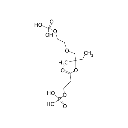 CCC(C)(COCCOP(=O)(O)O)OC(=O)CCOP(=O)(O)O